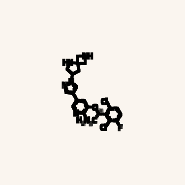 C[C@@H](Oc1cc(-c2cnn(C3CNC4(CNC4)C3)c2)cnc1N)c1c(Cl)ccc(F)c1Cl